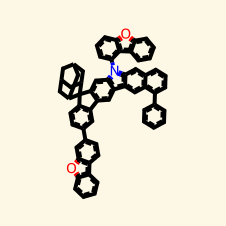 c1ccc(-c2cccc3cc4c(cc23)c2cc3c(cc2n4-c2cccc4oc5ccccc5c24)C2(c4ccc(-c5ccc6c(c5)oc5ccccc56)cc4-3)C3CC4CC(C3)CC2C4)cc1